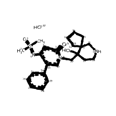 CS(C)(=O)=Nc1cc(=O)n(CC2(O)CCNCC23CCCC3)cc1-c1ccccc1.Cl